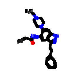 CN1CCN(c2cc3[nH]nc(C=Cc4ccccc4)c3cc2NC(=O)CC(C)(C)C)CC1